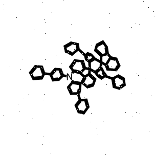 c1ccc(-c2ccc(N(c3ccc(-c4ccccc4)cc3)c3cccc4c3-c3ccccc3C43c4ccc(-c5ccccc5)cc4C4(c5ccccc5-c5ccccc54)c4ccc(-c5ccccc5)cc43)cc2)cc1